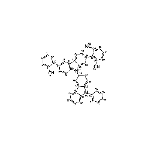 N#Cc1ccccc1-c1ccc2c(c1)c1ccc(-c3c(C#N)cccc3C#N)cc1n2-c1ccc2c(c1)c1ccccc1n2-c1ccccc1